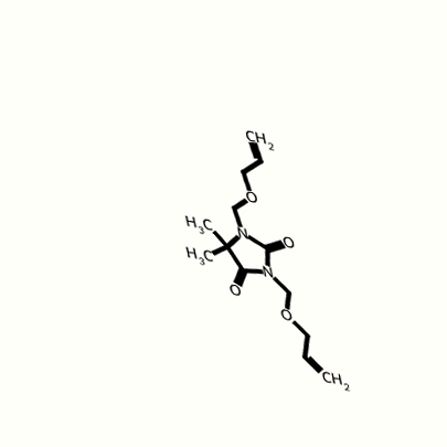 C=CCOCN1C(=O)N(COCC=C)C(C)(C)C1=O